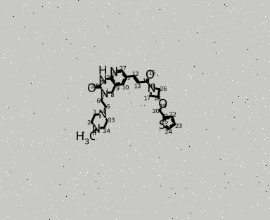 CN1CCN(CCN2Cc3cc(C=CC(=O)N4CC(OCc5cccs5)C4)cnc3NC2=O)CC1